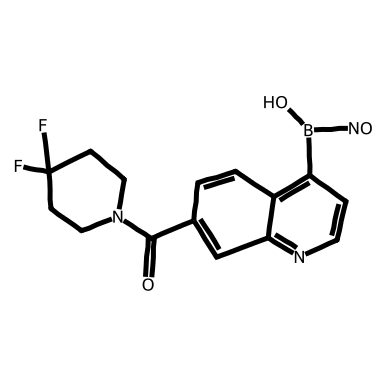 O=NB(O)c1ccnc2cc(C(=O)N3CCC(F)(F)CC3)ccc12